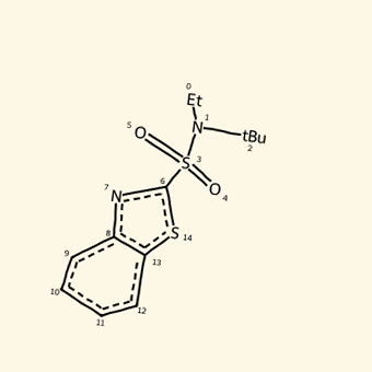 CCN(C(C)(C)C)S(=O)(=O)c1nc2ccccc2s1